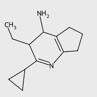 CCC1C(C2CC2)=NC2=C(CCC2)C1N